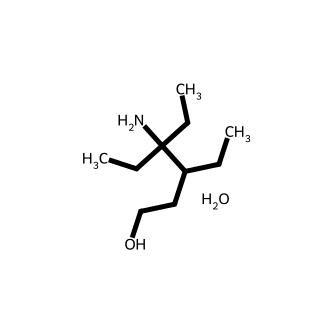 CCC(CCO)C(N)(CC)CC.O